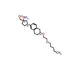 CCCCCOCCO[C@H]1CCc2cc([C@H]3CC[C@](N)(CO)C3)ccc2C1